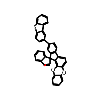 c1ccc2c(c1)Oc1ccc3c(c1O2)C1(c2ccccc2-c2ccccc21)c1cc(-c2ccc4sc5ccccc5c4c2)ccc1-3